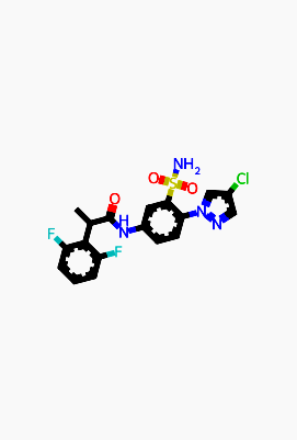 CC(C(=O)Nc1ccc(-n2cc(Cl)cn2)c(S(N)(=O)=O)c1)c1c(F)cccc1F